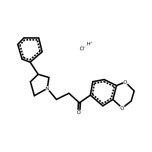 O=C(CCN1CCC(c2ccccc2)C1)c1ccc2c(c1)OCCO2.[Cl-].[H+]